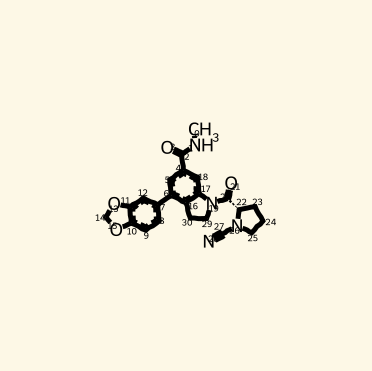 CNC(=O)c1cc(-c2ccc3c(c2)OCO3)c2c(c1)N(C(=O)[C@@H]1CCCN1C#N)CC2